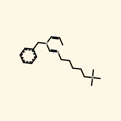 C/C=C\N(/C=N/CCCCC[N+](C)(C)C)Cc1ccccc1